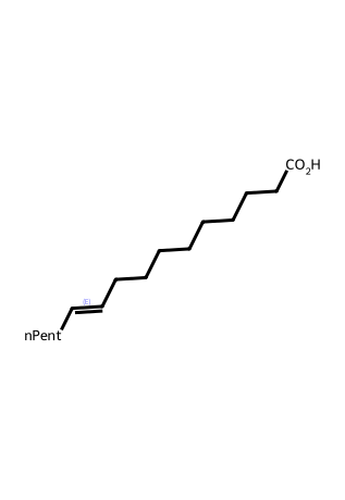 CCCCC/C=C/CCCCCCCCC(=O)O